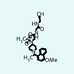 C#CCNC(=O)CNC(=O)CN(C1CCN(C(C)c2ccc(OC)c3ccccc23)CC1)S(C)(=O)=O